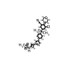 CC(C)(c1ccc(-c2cnn(C34CC(NS(C)(=O)=O)(C3)C4)c2)cc1)c1cc(Cl)c(N2CCOCC2)c(C#N)c1